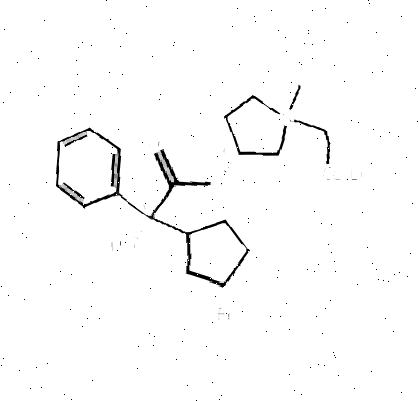 CCOC(=O)C[N+]1(C)CC[C@@H](OC(=O)[C@](O)(c2ccccc2)C2CCCC2)C1.[Br-]